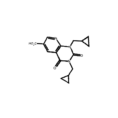 O=C(O)c1cnc2c(c1)c(=O)n(CC1CC1)c(=O)n2CC1CC1